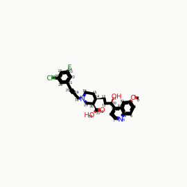 COc1ccc2nccc([C@H](O)CC[C@@H]3CCN(CC#Cc4cc(F)cc(Cl)c4)C[C@@H]3C(=O)O)c2c1